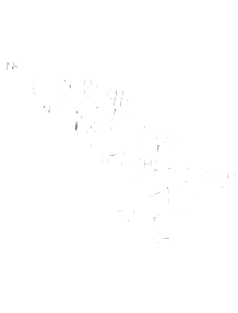 C=C(C)[C@@H]1CC[C@]2(C(=O)O)CC[C@]3(C)[C@H](CC[C@@H]4[C@@]5(C)CCN(c6ncc(C#N)cn6)C(C)(C)[C@@H]5CC[C@]43C)[C@@H]12